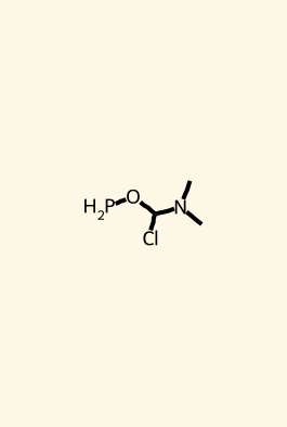 CN(C)C(Cl)OP